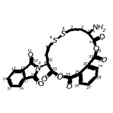 NC1CCSSCC[C@H](N2C(=O)c3ccccc3C2=O)C(=O)OC(=O)c2ccccc2C(=O)OC1=O